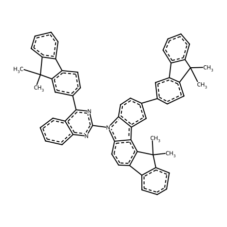 CC1(C)c2ccccc2-c2cc(-c3ccc4c(c3)c3c5c(ccc3n4-c3nc(-c4ccc6c(c4)C(C)(C)c4ccccc4-6)c4ccccc4n3)-c3ccccc3C5(C)C)ccc21